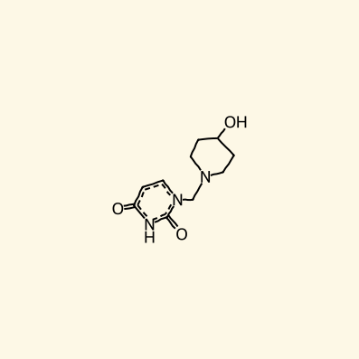 O=c1ccn(CN2CCC(O)CC2)c(=O)[nH]1